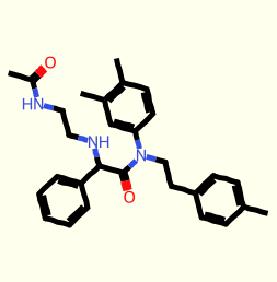 CC(=O)NCCNC(C(=O)N(CCc1ccc(C)cc1)c1ccc(C)c(C)c1)c1ccccc1